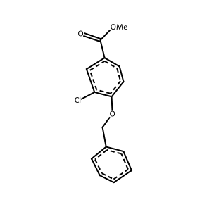 COC(=O)c1ccc(OCc2ccccc2)c(Cl)c1